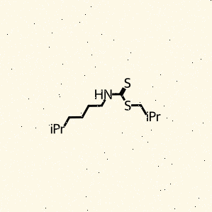 CC(C)CCCCNC(=S)SCC(C)C